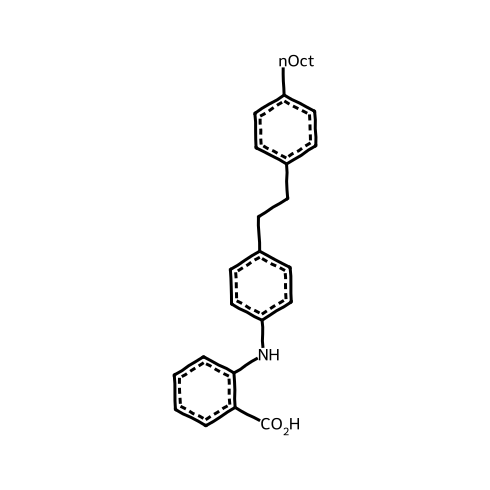 CCCCCCCCc1ccc(CCc2ccc(Nc3ccccc3C(=O)O)cc2)cc1